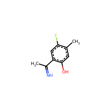 CC(=N)c1cc(F)c(C)cc1O